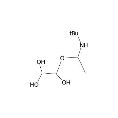 CC(NC(C)(C)C)OC(O)C(O)O